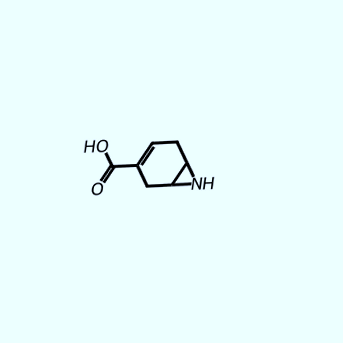 O=C(O)C1=CCC2NC2C1